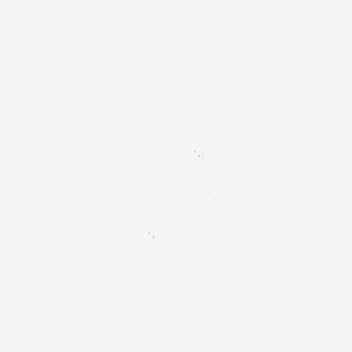 O=c1[nH]c2ccccc2cc1-c1ccncc1